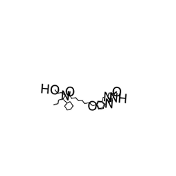 CCCC(C1CCCCC1)N(CCO)C(=O)CCCCCCOc1ccc2c(c1)CN1CC(=O)NC1=N2